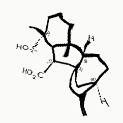 C=C1C[C@]23C[C@H]1CC[C@H]2C1(C)CCC[C@@](C)(C(=O)O)C1[C@@H]3C(=O)O